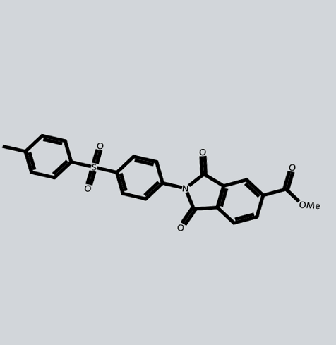 COC(=O)c1ccc2c(c1)C(=O)N(c1ccc(S(=O)(=O)c3ccc(C)cc3)cc1)C2=O